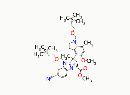 COC(=O)/C=C/C(C)(c1c(OC)cc(C)c2c1ccn2COCC[Si](C)(C)C)c1nc2ccc(C#N)cc2n1COCC[Si](C)(C)C